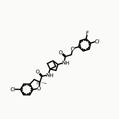 C[C@@]1(C(=O)NC23CC(C2)C(NC(=O)COc2ccc(Cl)c(F)c2)C3)Cc2cc(Cl)ccc2O1